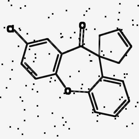 O=C1c2cc(Cl)ccc2Oc2ccccc2C12CC=CC2